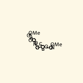 COC(=O)C[C@@H]1COc2cc(OCc3cccc(-c4c(C)cc(OCc5ccnc(OC)c5)c5c4CC5)c3)ccc21